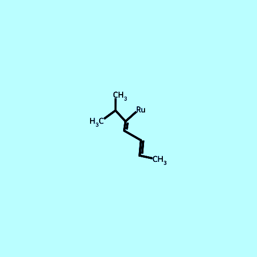 CC=CC=[C]([Ru])C(C)C